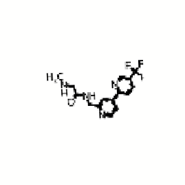 CNCC(=O)NCc1cc(-c2ccc(C(F)(F)F)cn2)ccn1